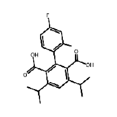 Cc1cc(F)ccc1-c1c(C(=O)O)c(C(C)C)cc(C(C)C)c1C(=O)O